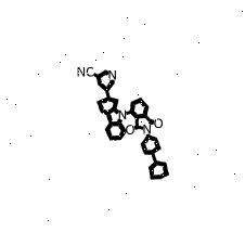 N#Cc1cncc(-c2ccc3c4ccccc4n(-c4cccc5c4C(=O)N(c4ccc(-c6ccccc6)cc4)C5=O)c3c2)c1